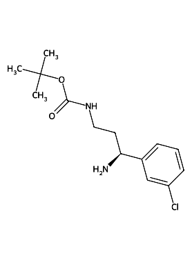 CC(C)(C)OC(=O)NCC[C@H](N)c1cccc(Cl)c1